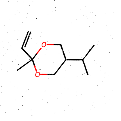 C=CC1(C)OCC(C(C)C)CO1